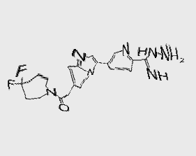 N=C(NN)c1ccc(-c2cnc3cc(C(=O)N4CCC(F)(F)CC4)ccn23)cn1